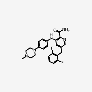 CN1CCN(c2ccc(Nc3cc(Cc4c(F)cccc4F)cnc3C(N)=O)cc2)CC1